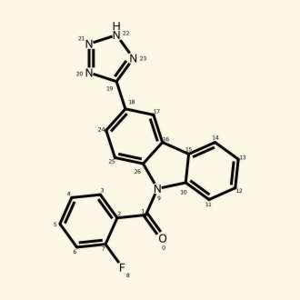 O=C(c1ccccc1F)n1c2ccccc2c2cc(-c3nn[nH]n3)ccc21